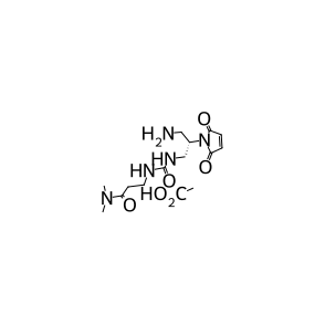 CC(=O)O.CN(C)C(=O)CCNC(=O)NC[C@H](CN)N1C(=O)C=CC1=O